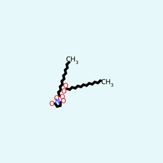 CCCCCCCCCCCCCC(=O)OC(CCCCCCCCCCC)CC(=O)ON1C(=O)CCC1=O